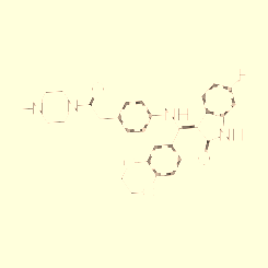 CN1CCN(C(=O)Cc2ccc(NC(=C3C(=O)Nc4cc(F)ccc43)c3ccc4c(c3)OCCO4)cc2)CC1